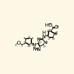 COCc1cccc(-n2nnc3cnc(Nc4ccc(F)c(C(=O)O)c4)nc32)c1